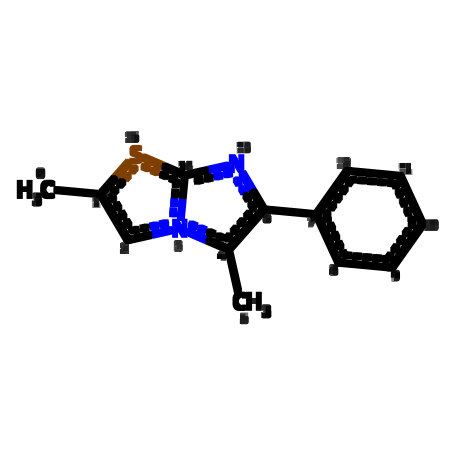 Cc1cn2c(C)c(-c3ccccc3)nc2s1